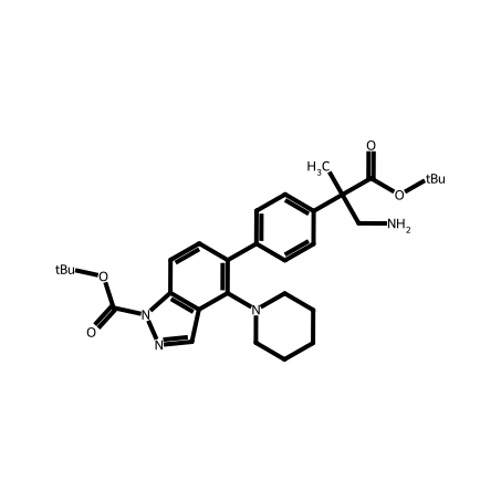 CC(C)(C)OC(=O)n1ncc2c(N3CCCCC3)c(-c3ccc(C(C)(CN)C(=O)OC(C)(C)C)cc3)ccc21